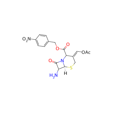 CC(=O)OC=C1CS[C@H]2C(N)C(=O)N2C1C(=O)OCc1ccc([N+](=O)[O-])cc1